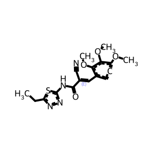 CCc1nnc(NC(=O)/C(C#N)=C/c2ccc(OC)c(OC)c2OC)s1